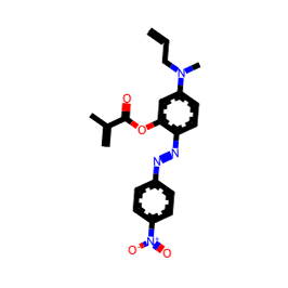 C=CCN(C)c1ccc(N=Nc2ccc([N+](=O)[O-])cc2)c(OC(=O)C(=C)C)c1